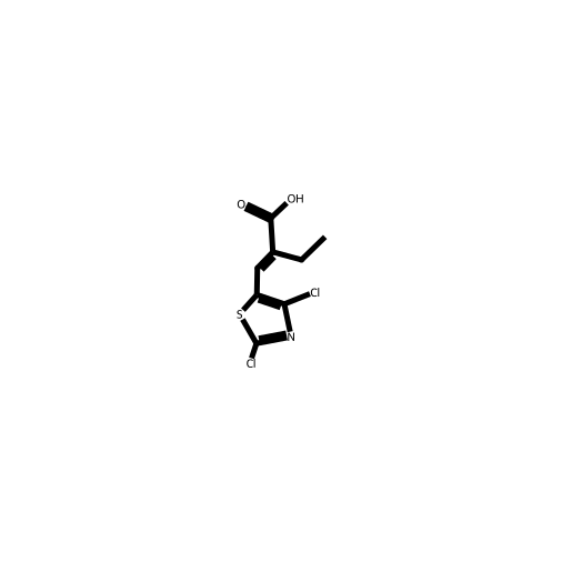 CC/C(=C\c1sc(Cl)nc1Cl)C(=O)O